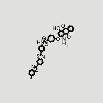 Cc1ccc2nc(-c3ccc4nc(-c5ccc(NS(=O)(=O)C6C=CC=C(Oc7cc(O)c8c(c7N)C(=O)c7ccccc7C8=O)C=C6)cc5)sc4c3)sc2c1